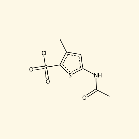 CC(=O)Nc1cc(C)c(S(=O)(=O)Cl)s1